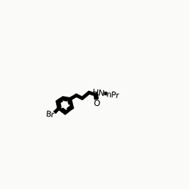 CCCNC(=O)CCCc1ccc(Br)cc1